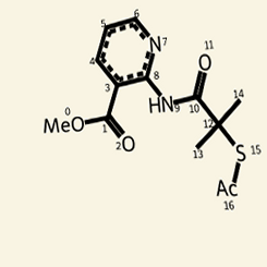 COC(=O)c1cccnc1NC(=O)C(C)(C)SC(C)=O